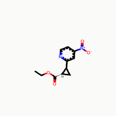 CCOC(=O)[C@H]1CC1c1cc([N+](=O)[O-])ccn1